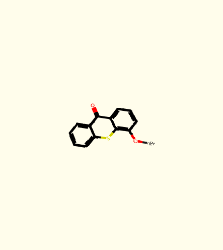 CCCOc1cccc2c(=O)c3ccccc3sc12